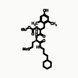 CSCC[C@@H](NC(=O)C(Cc1c(C)cc(O)cc1C)NC(=O)OC(C)(C)C)C(=O)NCCCC1CCCCC1